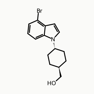 OC[C@H]1CC[C@H](n2ccc3c(Br)cccc32)CC1